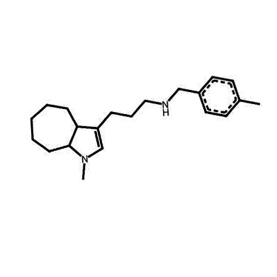 Cc1ccc(CNCCCC2=CN(C)C3CCCCCC23)cc1